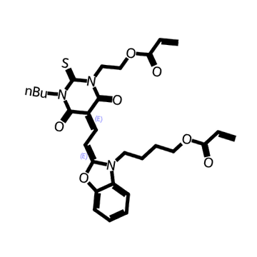 C=CC(=O)OCCCCN1/C(=C\C=C2/C(=O)N(CCCC)C(=S)N(CCOC(=O)C=C)C2=O)Oc2ccccc21